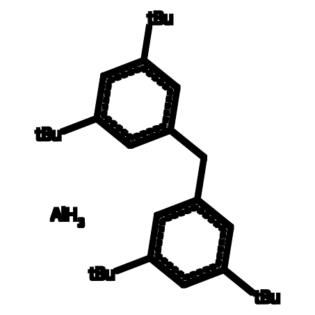 CC(C)(C)c1cc(Cc2cc(C(C)(C)C)cc(C(C)(C)C)c2)cc(C(C)(C)C)c1.[AlH3]